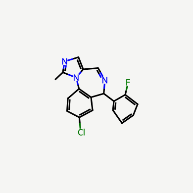 Cc1ncc2n1-c1ccc(Cl)cc1C(c1ccccc1F)N=C2